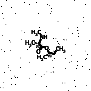 CC[C@H](C)OC(=O)[C@H](C)NC